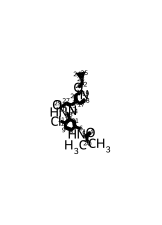 CC(C)C(=O)NCc1ccc(Cl)c(-c2nc(-c3ccnc(OCC4CC4)c3)cc(=O)[nH]2)c1